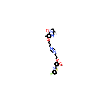 COc1cc(-c2nc3cc(F)ccc3s2)ccc1OCCCCN1CCN(CCCCOc2cc3c(cc2C)C(=O)N2CCC[C@H]2C=N3)CC1